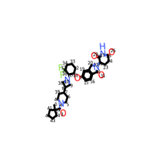 CC1(C(=O)N2CCC(C3CN([C@@H]4[C@H](Oc5ccc6c(c5)CN(C5CCC(=O)NC5=O)C6=O)CCCC4(F)F)C3)CC2)CCCC1